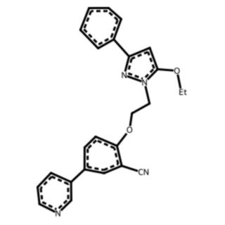 CCOc1cc(-c2ccccc2)nn1CCOc1ccc(-c2cccnc2)cc1C#N